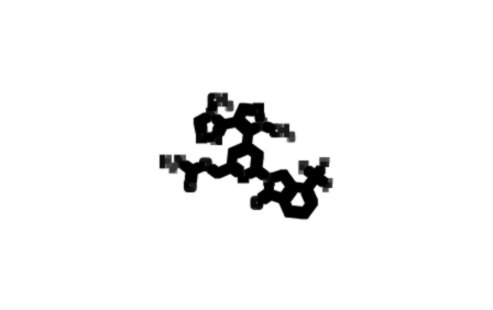 Cn1cnnc1-c1cnn(C)c1-c1cc(COC(N)=O)nc(N2Cc3c(cccc3C(F)(F)F)C2=O)c1